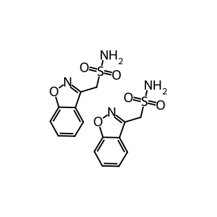 NS(=O)(=O)Cc1noc2ccccc12.NS(=O)(=O)Cc1noc2ccccc12